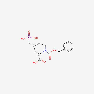 O=C(O)[C@@H]1C[C@H](CP(=O)(O)O)CCN1C(=O)OCc1ccccc1